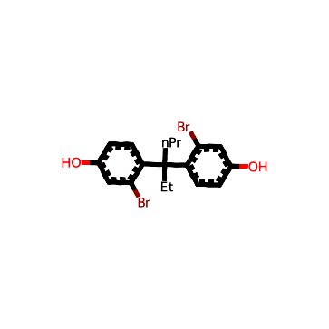 CCCC(CC)(c1ccc(O)cc1Br)c1ccc(O)cc1Br